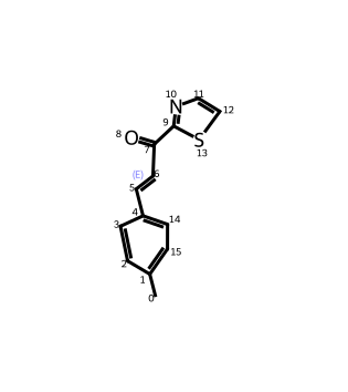 Cc1ccc(/C=C/C(=O)c2nccs2)cc1